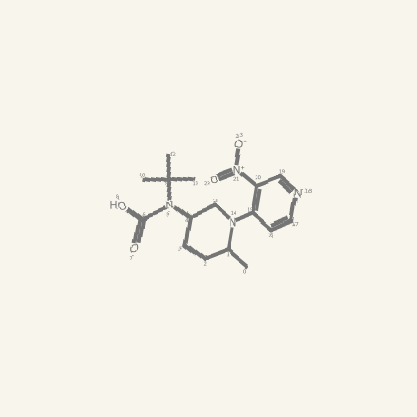 CC1CCC(N(C(=O)O)C(C)(C)C)CN1c1ccncc1[N+](=O)[O-]